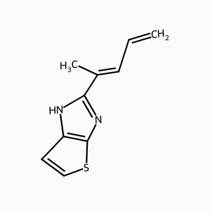 C=C/C=C(\C)c1nc2sccc2[nH]1